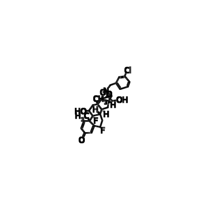 C[C@]12C=CC(=O)C=C1[C@@H](F)C[C@H]1[C@@H]3C[C@H]4CN(Cc5cccc(Cl)c5)O[C@@]4(C(=O)CO)[C@@]3(C)C[C@H](O)[C@@]12F